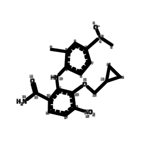 Cc1cc([S+](C)[O-])ccc1Nc1c(C(N)=O)ccc([N+](=O)[O-])c1OCC1CC1